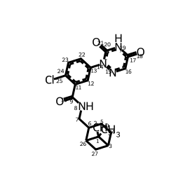 CC1(C)C2CCC(CNC(=O)c3cc(-n4ncc(=O)[nH]c4=O)ccc3Cl)C1C2